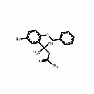 CC(C)c1ccc(OCc2ccccc2)c(C(C)(C)CC(=O)C(F)(F)F)c1